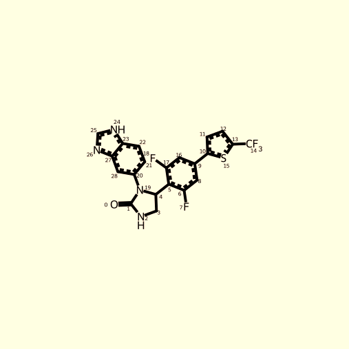 O=C1NCC(c2c(F)cc(-c3ccc(C(F)(F)F)s3)cc2F)N1c1ccc2[nH]cnc2c1